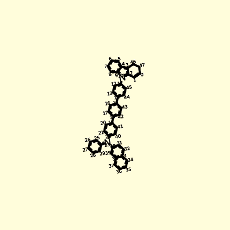 C1=Cc2c(c3ccccc3n2-c2ccc(-c3ccc(-c4ccc(N(c5ccccc5)c5ccc6ccccc6c5)cc4)cc3)cc2)CC1